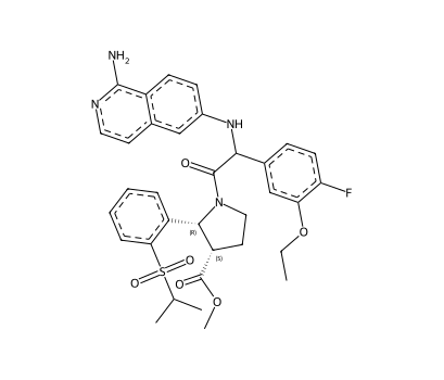 CCOc1cc(C(Nc2ccc3c(N)nccc3c2)C(=O)N2CC[C@H](C(=O)OC)[C@@H]2c2ccccc2S(=O)(=O)C(C)C)ccc1F